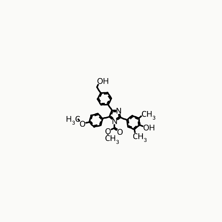 COC(=O)n1c(-c2cc(C)c(O)c(C)c2)nc(-c2ccc(CO)cc2)c1-c1ccc(OC)cc1